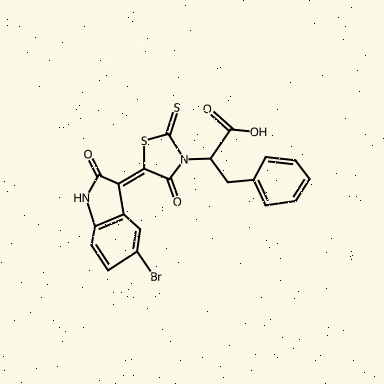 O=C1Nc2ccc(Br)cc2/C1=C1/SC(=S)N(C(Cc2ccccc2)C(=O)O)C1=O